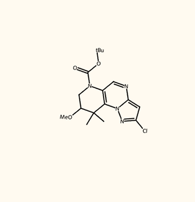 COC1CN(C(=O)OC(C)(C)C)c2cnc3cc(Cl)nn3c2C1(C)C